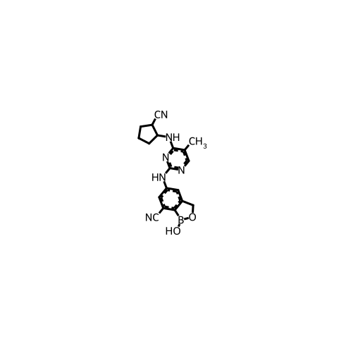 Cc1cnc(Nc2cc(C#N)c3c(c2)COB3O)nc1NC1CCCC1C#N